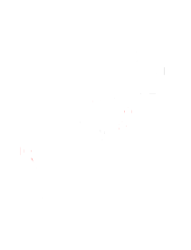 CC(C)(C)OC(=O)Oc1ccc([C@@H]2CCC[C@H]2O)ccc1=O